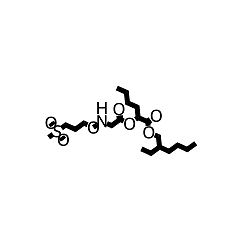 CCCCC(CC)COC(=O)C(CCCC)OC(=O)CNOCCCS(C)(=O)=O